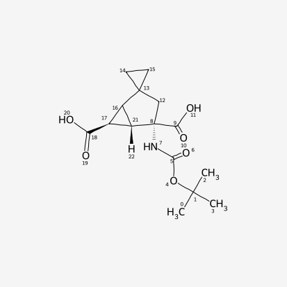 CC(C)(C)OC(=O)N[C@@]1(C(=O)O)CC2(CC2)C2[C@H](C(=O)O)[C@H]21